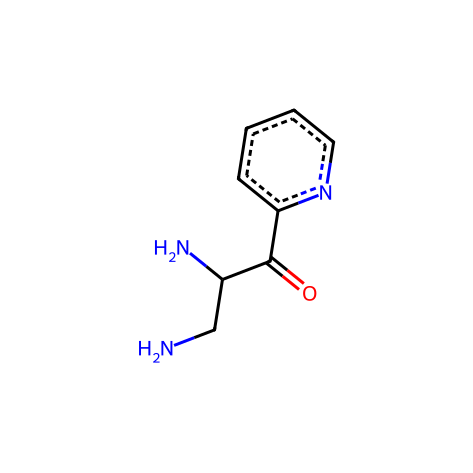 NCC(N)C(=O)c1ccccn1